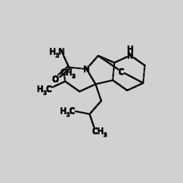 CC(C)CC1(CC(C)C)C2CC3CNC2C(C3)N1C(N)=O